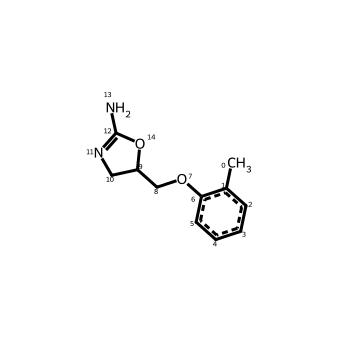 Cc1ccccc1OCC1CN=C(N)O1